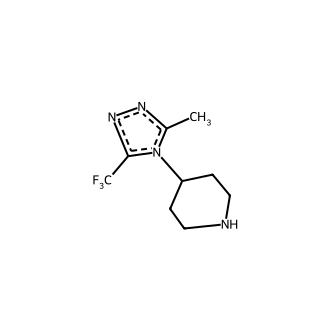 Cc1nnc(C(F)(F)F)n1C1CCNCC1